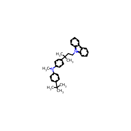 CN(c1ccc(C(C)(C)C)cc1)c1ccc(C(C)(C)CCn2c3ccccc3c3ccccc32)cc1